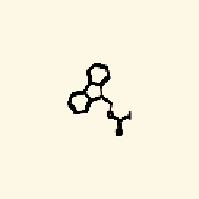 O=C(I)OCC1c2ccccc2-c2ccccc21